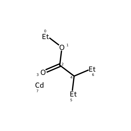 CCOC(=O)C(CC)CC.[Cd]